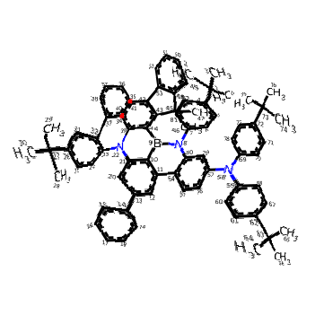 CC(C)(C)c1ccc(N2B3c4c(cc(-c5ccccc5)cc4N(c4ccc(C(C)(C)C)cc4-c4ccccc4)c4ccc5c(c43)C(C)(C)c3ccccc3-5)-c3ccc(N(c4ccc(C(C)(C)C)cc4)c4ccc(C(C)(C)C)cc4)cc32)cc1